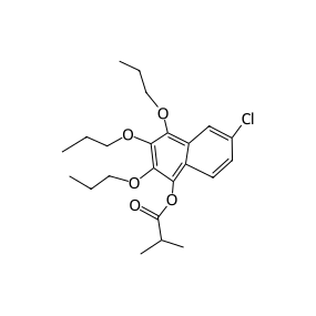 CCCOc1c(OCCC)c(OC(=O)C(C)C)c2ccc(Cl)cc2c1OCCC